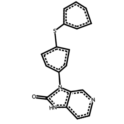 O=c1[nH]c2ccncc2n1-c1ccc(Sc2ccccc2)cc1